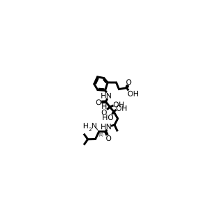 CC(C)C[C@H](N)C(=O)NC(C)CC(O)(O)C(O)(O)C(=O)Nc1ccccc1CCC(=O)O